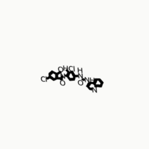 Cc1cc(NC(=O)Nc2ccnc3ccccc23)ccc1N1C(=O)c2ccc(Cl)cc2C1=O.Cl